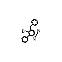 Brc1c(Cc2ccccc2)cccc1-c1ccccc1.N#CC#N